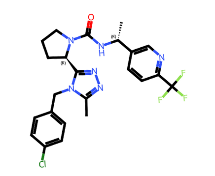 Cc1nnc([C@H]2CCCN2C(=O)N[C@H](C)c2ccc(C(F)(F)F)nc2)n1Cc1ccc(Cl)cc1